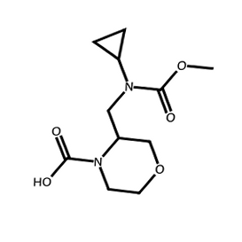 COC(=O)N(CC1COCCN1C(=O)O)C1CC1